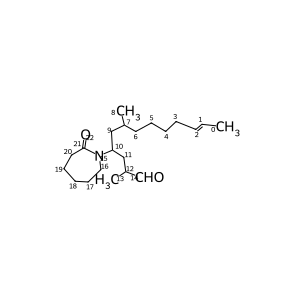 CC=CCCCCC(C)CC(CC(C)C=O)N1CCCCCC1=O